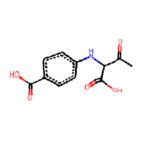 CC(=O)C(Nc1ccc(C(=O)O)cc1)C(=O)O